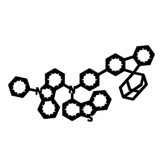 c1ccc(-n2c3ccccc3c3c(N(c4ccc(-c5ccc6c(c5)C5(c7ccccc7-6)C6CC7CC(C6)CC5C7)cc4)c4cccc5sc6ccccc6c45)cccc32)cc1